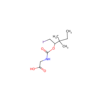 CCC(C)(C)C(CI)OC(=O)NCC(=O)O